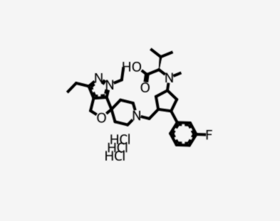 CCc1nn(CC)c2c1COC21CCN(CC2CC(N(C)[C@@H](C(=O)O)C(C)C)CC2c2cccc(F)c2)CC1.Cl.Cl.Cl